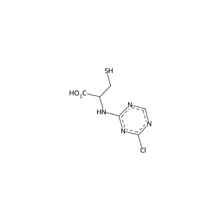 O=C(O)C(CS)Nc1ncnc(Cl)n1